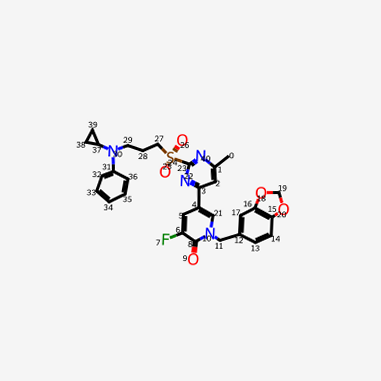 Cc1cc(-c2cc(F)c(=O)n(Cc3ccc4c(c3)OCO4)c2)nc(S(=O)(=O)CCCN(c2ccccc2)C2CC2)n1